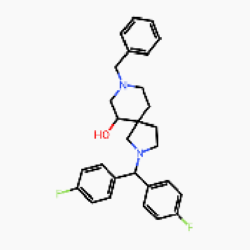 OC1CN(Cc2ccccc2)CCC12CCN(C(c1ccc(F)cc1)c1ccc(F)cc1)C2